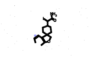 C/C=C\C1=C(C)OCC12CCC(C(I)C(N)=O)CC2